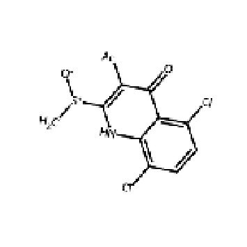 CC(=O)c1c([S+](C)[O-])[nH]c2c(Cl)ccc(Cl)c2c1=O